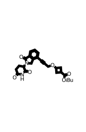 CC(C)COC(=O)C1CC(OCC#Cc2cccc3c2CN(C2CCC(=O)NC2=O)C3=O)C1